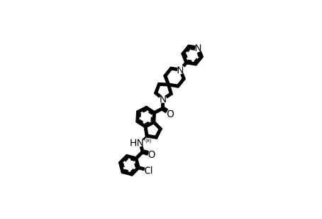 O=C(N[C@@H]1CCc2c(C(=O)N3CCC4(CCN(c5ccncc5)CC4)C3)cccc21)c1ccccc1Cl